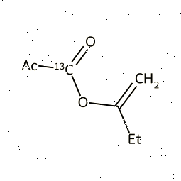 C=C(CC)O[13C](=O)C(C)=O